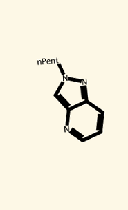 CCCCCn1cc2ncccc2n1